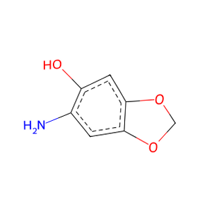 Nc1cc2c(cc1O)OCO2